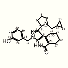 O=c1[nH]c2c(c([C@H]3CCCN3CC3CC3)nn2Cc2cccc(O)c2)c2c1CCCC2